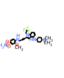 COc1cc(S(N)(=O)=O)ccc1NCC#Cc1cc2c(N[C@H]3CC[C@@H](N(C)C)CC3)cccc2n1CC(F)(F)F